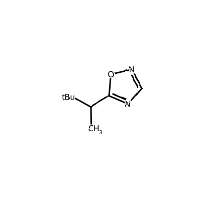 CC(c1ncno1)C(C)(C)C